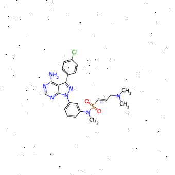 CN(C)C/C=C/S(=O)(=O)N(C)c1cccc(-n2nc(-c3ccc(Cl)cc3)c3c(N)ncnc32)c1